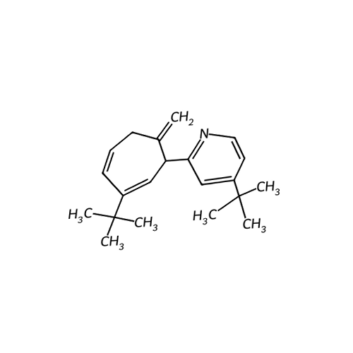 C=C1CC=CC(C(C)(C)C)=CC1c1cc(C(C)(C)C)ccn1